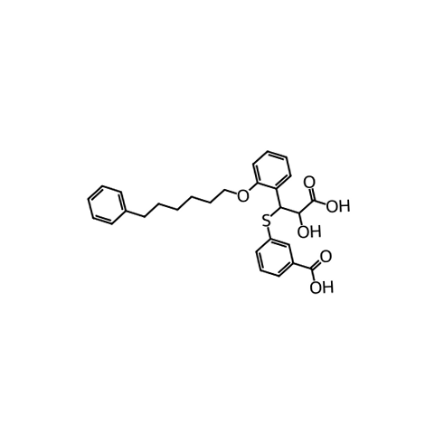 O=C(O)c1cccc(SC(c2ccccc2OCCCCCCc2ccccc2)C(O)C(=O)O)c1